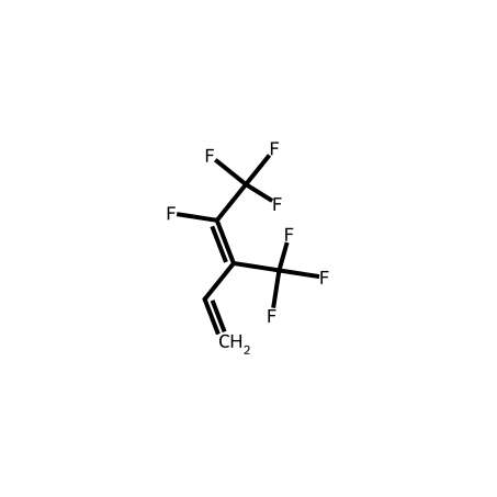 C=C/C(=C(\F)C(F)(F)F)C(F)(F)F